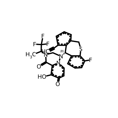 C#Cc1cccc2c1[C@@H](N1CN(C(C)C(F)(F)F)C(=O)c3c(O)c(=O)ccn31)c1cccc(F)c1SC2